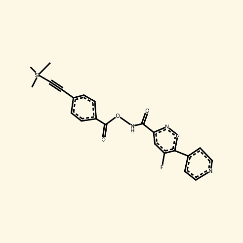 C[Si](C)(C)C#Cc1ccc(C(=O)ONC(=O)c2cc(F)c(-c3ccncc3)nn2)cc1